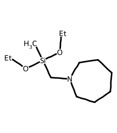 CCO[Si](C)(CN1CCCCCC1)OCC